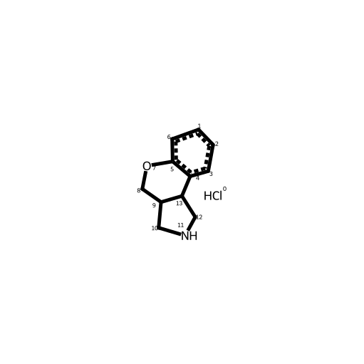 Cl.c1ccc2c(c1)OCC1CNCC21